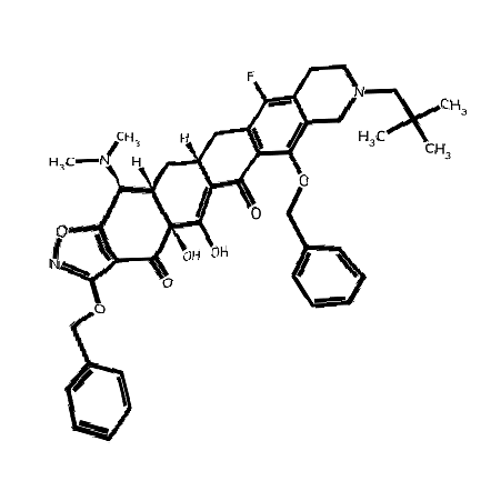 CN(C)[C@@H]1c2onc(OCc3ccccc3)c2C(=O)[C@@]2(O)C(O)=C3C(=O)c4c(c(F)c5c(c4OCc4ccccc4)CN(CC(C)(C)C)CC5)C[C@H]3C[C@@H]12